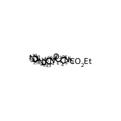 CCOC(=O)CN1CCC(CC(=O)N2CCC3(CC2)CCN(c2ccncc2)C3)CC1